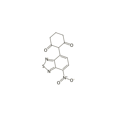 O=C1CCCC(=O)C1c1ccc([N+](=O)[O-])c2nsnc12